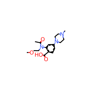 COCCN(C(C)=O)c1cc(N2CCN(C)CC2)ccc1C(=O)O